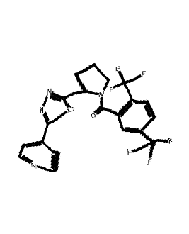 O=C(c1cc(C(F)(F)F)ccc1C(F)(F)F)N1CCCC1c1nnc(-c2ccncc2)o1